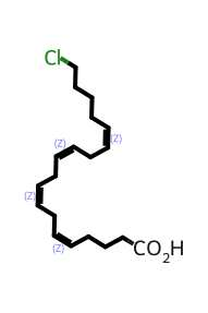 O=C(O)CCC/C=C\C/C=C\C/C=C\C/C=C\CCCCCl